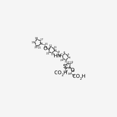 Cc1c(-c2cccc(NCc3ccc(OCc4ccccc4)cc3)c2)sc(C(=O)O)c1OCC(=O)O